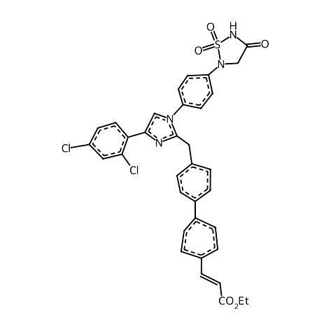 CCOC(=O)/C=C/c1ccc(-c2ccc(Cc3nc(-c4ccc(Cl)cc4Cl)cn3-c3ccc(N4CC(=O)NS4(=O)=O)cc3)cc2)cc1